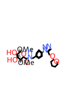 CO[C@@H]1OC(C(=O)NCc2ccc(-n3nncc3COC3CCCCO3)cc2)[C@@H](OC)[C@H](O)[C@@H]1O